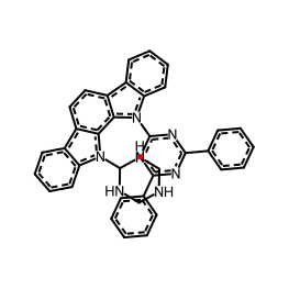 c1ccc(-c2nc(-c3ccccc3)nc(-n3c4ccccc4c4ccc5c6ccccc6n(C6NCNCN6)c5c43)n2)cc1